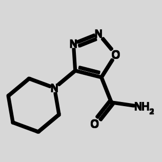 NC(=O)c1onnc1N1CCCCC1